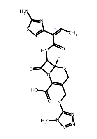 C/C=C(\C(=O)NC1C(=O)N2C(C(=O)O)=C(CSc3nnnn3C)CS[C@@H]12)c1nsc(N)n1